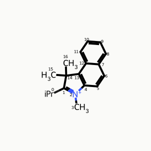 CC(C)C1=[N+](C)c2ccc3ccccc3c2C1(C)C